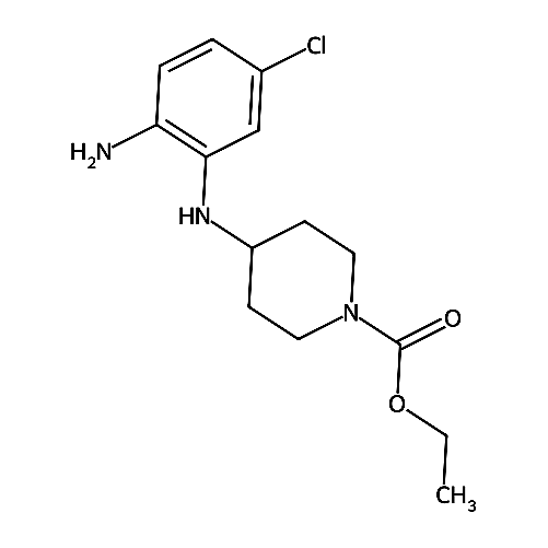 CCOC(=O)N1CCC(Nc2cc(Cl)ccc2N)CC1